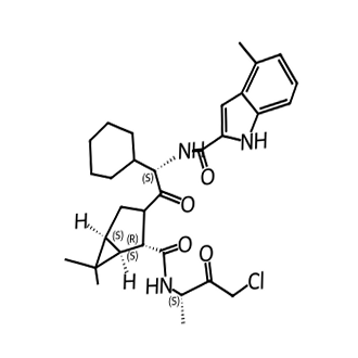 Cc1cccc2[nH]c(C(=O)N[C@H](C(=O)C3C[C@H]4[C@@H]([C@H]3C(=O)N[C@@H](C)C(=O)CCl)C4(C)C)C3CCCCC3)cc12